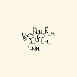 CNc1cc(C)nc(Nc2cc3c(c(C4=CCNCCC4)c2Cl)OCO3)n1